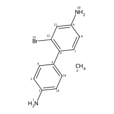 C.Nc1ccc(-c2ccc(N)cc2Br)cc1